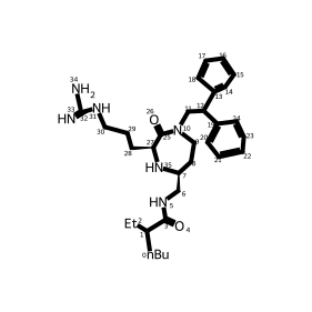 CCCCC(CC)C(=O)NC[C@@H]1CCN(CC(c2ccccc2)c2ccccc2)C(=O)[C@H](CCCNC(=N)N)N1